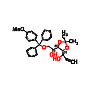 C#CC(O)[C@@H]1OC(C)(C)O[C@@H]1[C@H](O)COC(c1ccccc1)(c1ccccc1)c1ccc(OC)cc1